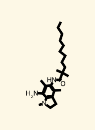 CCCCCCCCCC(C)(C)C(=O)Nc1c(C)c(N)c2c(c1C)CCN2C